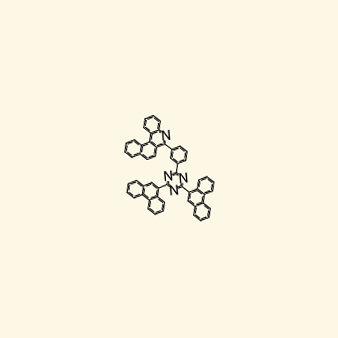 c1cc(-c2nc(-c3cc4ccccc4c4ccccc34)nc(-c3cc4ccccc4c4ccccc34)n2)cc(-c2nc3ccccc3c3c2ccc2ccccc23)c1